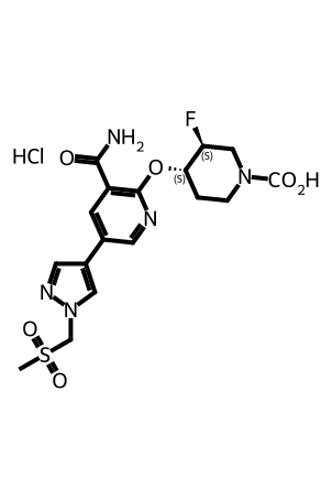 CS(=O)(=O)Cn1cc(-c2cnc(O[C@H]3CCN(C(=O)O)C[C@@H]3F)c(C(N)=O)c2)cn1.Cl